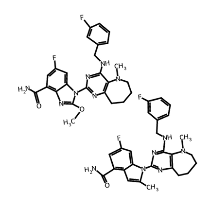 COc1nc2c(C(N)=O)cc(F)cc2n1-c1nc2c(c(NCc3cccc(F)c3)n1)N(C)CCCC2.Cc1cc2c(C(N)=O)cc(F)cc2n1-c1nc2c(c(NCc3cccc(F)c3)n1)N(C)CCCC2